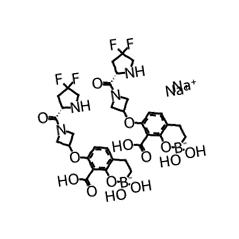 O=C(O)c1c(OC2CN(C(=O)[C@@H]3CC(F)(F)CN3)C2)ccc2c1O[B-](O)(O)CC2.O=C(O)c1c(OC2CN(C(=O)[C@@H]3CC(F)(F)CN3)C2)ccc2c1O[B-](O)(O)CC2.[Na+].[Na+]